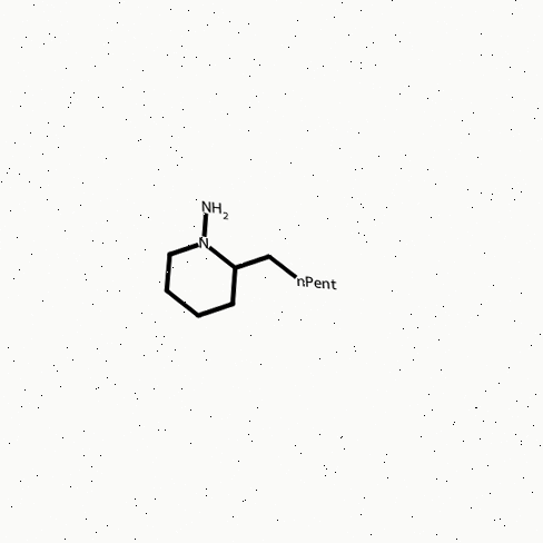 CCCCCCC1CCCCN1N